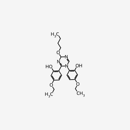 CCCCOC1N=CN(c2ccc(OCC)cc2O)C(c2ccc(OCC)cc2O)=N1